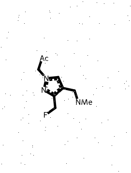 CNCc1cn(CC(C)=O)nc1CF